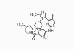 Cc1ncc(-c2nc(Nc3ccc(C(=O)N4CCN(C)CC4)cc3)ncc2F)n1C1CCN(C)CC1.Cl